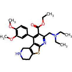 CCOC(=O)c1c(CN(CC)CC)nc2sc3c(c2c1-c1ccc(OC)c(OC)c1)CNCC3